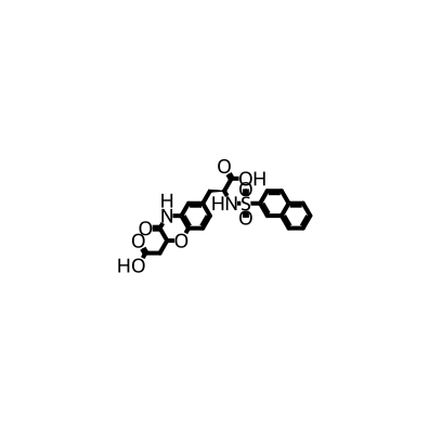 O=C(O)CC1Oc2ccc(C[C@H](NS(=O)(=O)c3ccc4ccccc4c3)C(=O)O)cc2NC1=O